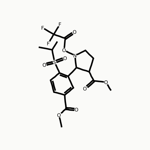 COC(=O)c1ccc(S(=O)(=O)C(C)C)c(C2C(C(=O)OC)CCN2OC(=O)C(F)(F)F)c1